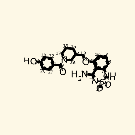 NC1=NS(=O)(=O)Nc2cccc(OCC3CCCN(C(=O)c4ccc(O)cc4)C3)c21